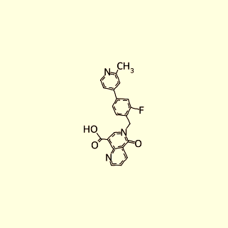 Cc1cc(-c2ccc(Cn3cc(C(=O)O)c4ncccc4c3=O)c(F)c2)ccn1